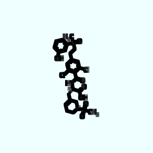 CP(=O)(CCc1cc(Cl)c(C(=O)N[C@@H](CC2=CCCN(S(C)(=O)=O)C2)C(=O)O)c(Cl)c1)c1cccc(O)c1